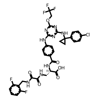 O=C(NCc1c(F)cccc1F)C(=O)NC[C@H](NC(=O)c1ccc(Nc2nc(NC3(c4ccc(Cl)cc4)CC3)nc(OCC(F)(F)F)n2)cc1)C(=O)O